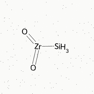 [O]=[Zr](=[O])[SiH3]